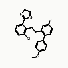 COc1ccc(-c2ccc(Br)cc2CCc2c(Cl)cccc2C2=NCCN2)cc1